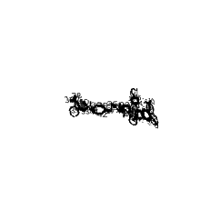 COc1cc2c(cc1OC(C)C)[C@H](c1ccc(Cl)cc1)N(c1ccc(N(C)CC3CCC(N4CC(=O)N(C(C)C)C4)CC3)cn1)C(=O)C2